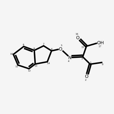 CC(=O)/C(=N/OC1Cc2ccccc2C1)C(=O)O